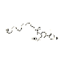 CC/C=C\C/C=C\C/C=C\C/C=C\C/C=C\CCCC(=O)Oc1ccc(-c2ccc(F)cc2F)cc1C(=O)O